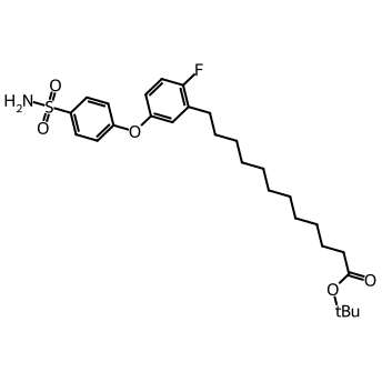 CC(C)(C)OC(=O)CCCCCCCCCCCc1cc(Oc2ccc(S(N)(=O)=O)cc2)ccc1F